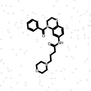 O=C(CCCN1CCOCC1)Nc1ccc2c(c1)N(C(=O)c1ccccc1)CCS2